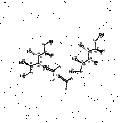 CC(C)=O.CC(C)=O.OC[C@@H](O)[C@@H](O)[C@H](O)[C@H](O)CO.OC[C@@H](O)[C@@H](O)[C@H](O)[C@H](O)CO